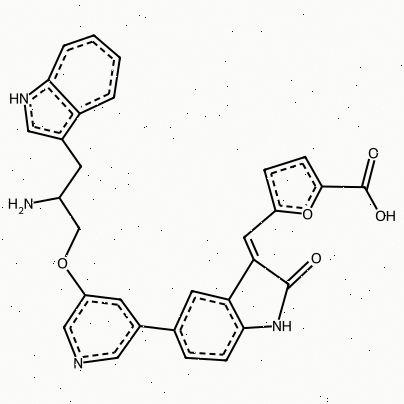 NC(COc1cncc(-c2ccc3c(c2)C(=Cc2ccc(C(=O)O)o2)C(=O)N3)c1)Cc1c[nH]c2ccccc12